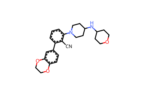 N#Cc1c(-c2ccc3c(c2)OCCO3)cccc1N1CCC(NC2CCOCC2)CC1